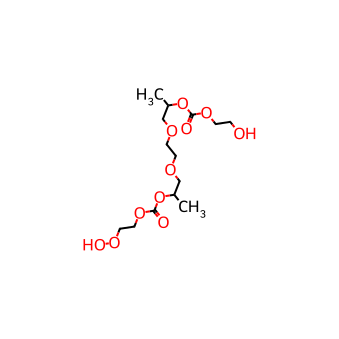 CC(COCCOCC(C)OC(=O)OCCOO)OC(=O)OCCO